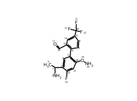 CC(N)c1cc(-c2ccc(C(F)(F)F)cc2C=O)c(ON)cc1F